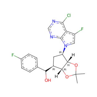 CC1(C)O[C@@H]2[C@H](O1)[C@@H](C(O)c1ccc(F)cc1)C[C@H]2n1cc(F)c2c(Cl)ncnc21